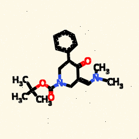 CN(C)/C=C1/CN(C(=O)OC(C)(C)C)CC(c2ccccc2)C1=O